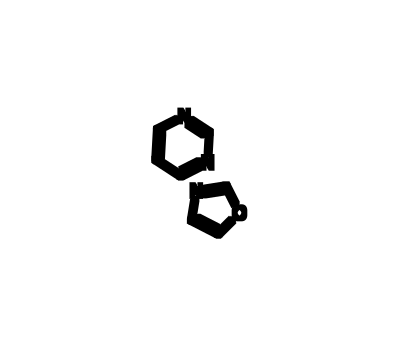 c1cncnc1.c1cocn1